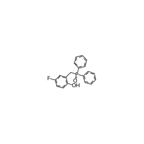 O=P(Cc1cc(F)ccc1O)(c1ccccc1)c1ccccc1